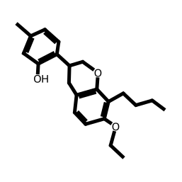 CCCCc1c(OCC)ccc2c1OCC(c1ccc(C)cc1O)C2